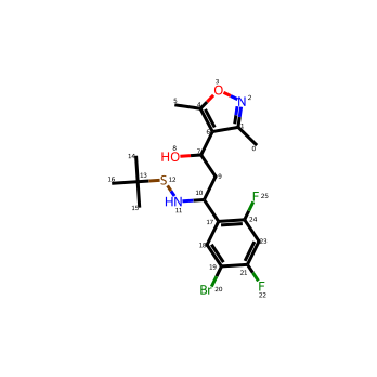 Cc1noc(C)c1C(O)CC(NSC(C)(C)C)c1cc(Br)c(F)cc1F